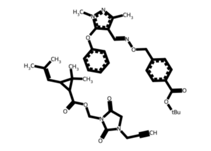 C#CCN1CC(=O)N(COC(=O)C2C(C=C(C)C)C2(C)C)C1=O.Cc1nn(C)c(Oc2ccccc2)c1/C=N/OCc1ccc(C(=O)OC(C)(C)C)cc1